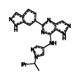 CC(C)C(C)n1cc(Nc2nc(-c3ccc4cn[nH]c4c3)nc3cn[nH]c23)cn1